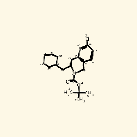 CC(C)(C)OC(=O)N1Cc2ccc(Cl)nc2CC1CC1CCCCC1